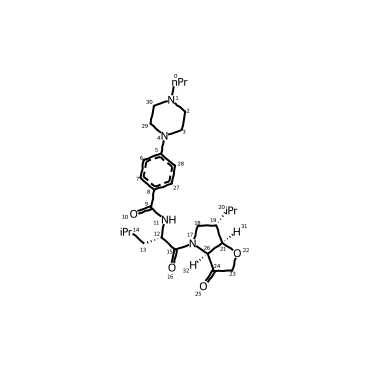 CCCN1CCN(c2ccc(C(=O)N[C@@H](CC(C)C)C(=O)N3C[C@H](C(C)C)[C@H]4OCC(=O)[C@H]43)cc2)CC1